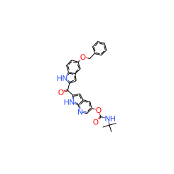 CC(C)(C)NC(=O)Oc1cnc2[nH]c(C(=O)c3cc4cc(OCc5ccccc5)ccc4[nH]3)cc2c1